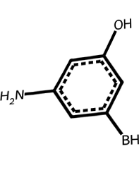 Bc1cc(N)cc(O)c1